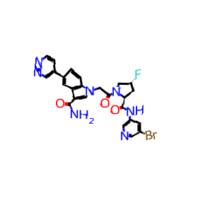 NC(=O)c1cn(CC(=O)N2C[C@H](F)C[C@H]2C(=O)Nc2cncc(Br)c2)c2ccc(-c3ccnnc3)cc12